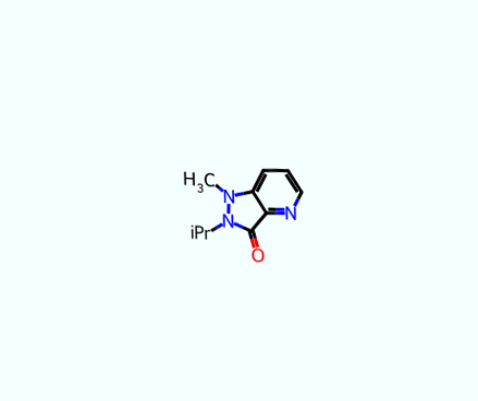 CC(C)n1c(=O)c2ncccc2n1C